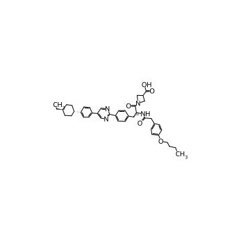 CCCCOc1ccc(CC(=O)N[C@@H](Cc2ccc(-c3ncc(-c4ccc([C@H]5CC[C@H](CC)CC5)cc4)cn3)cc2)C(=O)N2CC(C(=O)O)C2)cc1